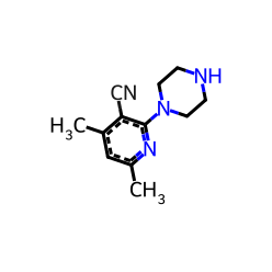 Cc1cc(C)c(C#N)c(N2CCNCC2)n1